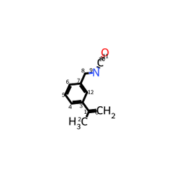 C=C(C)c1cccc(CN=C=O)c1